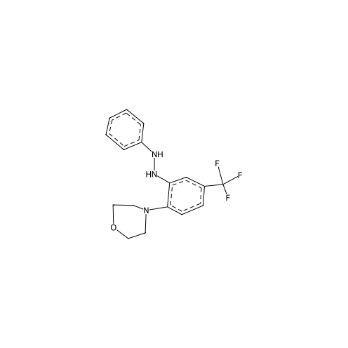 FC(F)(F)c1ccc(N2CCOCC2)c(NNc2ccccc2)c1